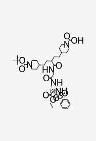 CCOC(=O)[C@H](CNC(=O)CNC(=O)C(CCC1CCN(C(=O)O)CC1)CCC1CCN(C(=O)OC(C)(C)C)CC1)NS(=O)(=O)c1ccccc1